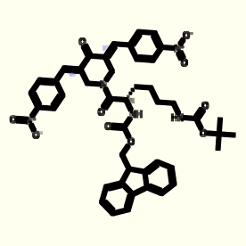 CC(C)(C)OC(=O)NCCCC[C@H](NC(=O)OCC1c2ccccc2-c2ccccc21)C(=O)N1C/C(=C\c2ccc([N+](=O)[O-])cc2)C(=O)/C(=C/c2ccc([N+](=O)[O-])cc2)C1